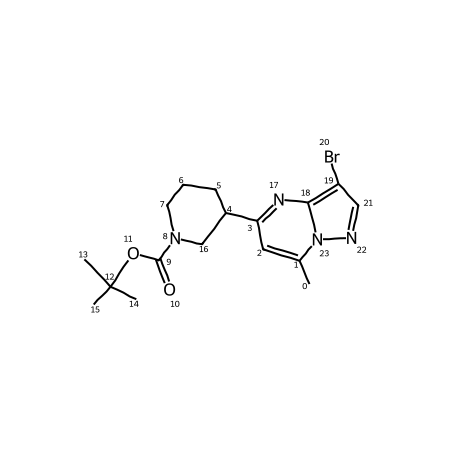 Cc1cc(C2CCCN(C(=O)OC(C)(C)C)C2)nc2c(Br)cnn12